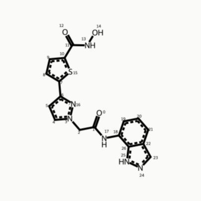 O=C(Cn1ccc(-c2ccc(C(=O)NO)s2)n1)Nc1cccc2cn[nH]c12